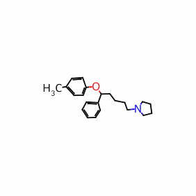 Cc1ccc(OC(CCCCN2CCCC2)c2ccccc2)cc1